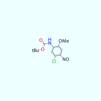 COc1cc(N=O)c(Cl)cc1NC(=O)OC(C)(C)C